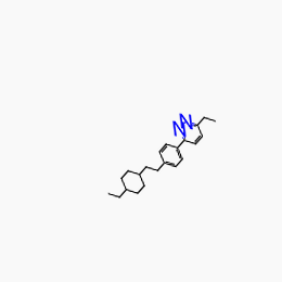 CCc1ccc(-c2ccc(CCC3CCC(CC)CC3)cc2)nn1